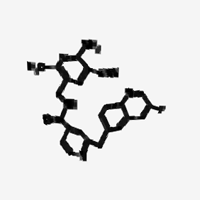 Cc1nc(N)c(C#N)cc1CNC(=O)c1ccnc(Cc2ccc3ncc(F)cc3c2)c1